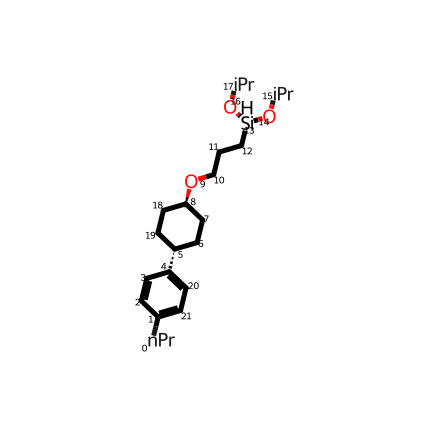 CCCc1ccc([C@H]2CC[C@H](OCCC[SiH](OC(C)C)OC(C)C)CC2)cc1